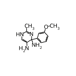 COc1cccc(C2(N)N=C(C)NC=C2N)c1